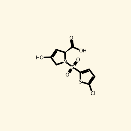 O=C(O)[C@@H]1C=C(O)CN1S(=O)(=O)c1ccc(Cl)s1